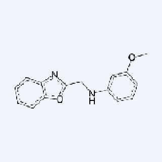 COc1cccc(NCc2nc3ccccc3o2)c1